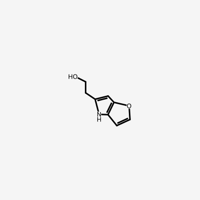 OCCc1cc2occc2[nH]1